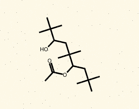 CC(=O)OC(CC(C)(C)C)C(C)(C)CC(O)C(C)(C)C